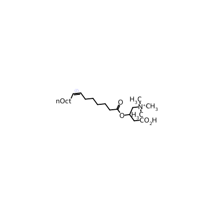 CCCCCCCC/C=C\CCCCCC(=O)OC(CC(=O)O)C[N+](C)(C)C